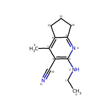 CCNc1nc2c(c(C)c1C#N)CCC2